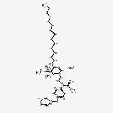 Br.CCCCCCCCCCCCCCOc1ccc(CCN(C(C)=O)c2ccc(CN3C=CSC3)cc2)cc1C(C)(C)C